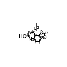 Nc1nc(O)nc2ccc3c(c12)OCO3